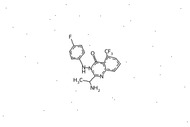 CC(N)c1nc2cccc(C(F)(F)F)c2c(=O)n1Nc1ccc(F)cc1